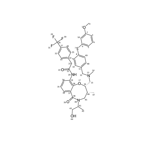 COc1cccc(Sc2ccc(CN(C)C[C@H]3Oc4c(NC(=O)Cc5ccc(C(F)(F)F)cc5)cccc4C(=O)N(C(C)CO)C[C@H]3C)cc2)c1